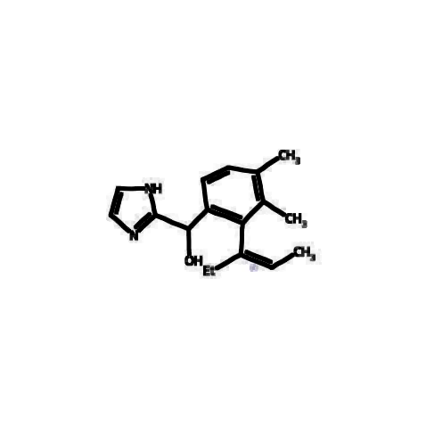 C/C=C(/CC)c1c(C(O)c2ncc[nH]2)ccc(C)c1C